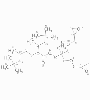 CCC(COCC1CO1)(COCC1CO1)COC(=O)C(CCC(C)CC(C)(C)C)C(C)CC(C)(C)C